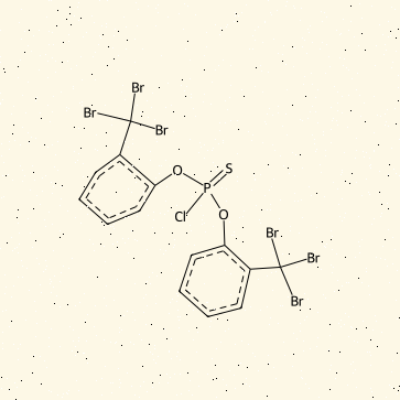 S=P(Cl)(Oc1ccccc1C(Br)(Br)Br)Oc1ccccc1C(Br)(Br)Br